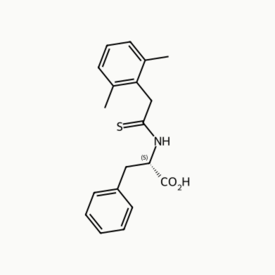 Cc1cccc(C)c1CC(=S)N[C@@H](Cc1ccccc1)C(=O)O